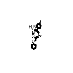 CN1/C=C(c2ccc(I)cc2N)\C=N/CN(C)/C(COc2ccccc2)=C\1